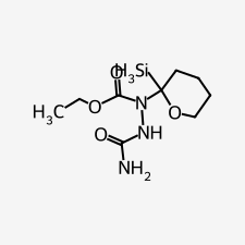 CCOC(=O)N(NC(N)=O)C1([SiH3])CCCCO1